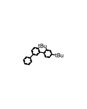 CC(C)(C)c1ccc(-c2cccc(-c3ccccc3)c2)c(C(C)(C)C)c1